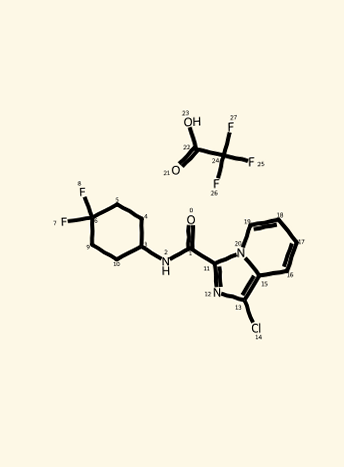 O=C(NC1CCC(F)(F)CC1)c1nc(Cl)c2ccccn12.O=C(O)C(F)(F)F